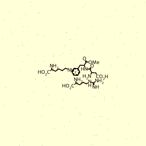 COC(=O)C(Cc1ccccc1)NC(=O)C(N)CC(=O)O.N=C(N)NCCC[C@H](N)C(=O)O.NCCCC[C@H](N)C(=O)O